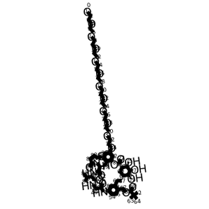 COCCOCCOCCOCCOCCOCCOCCOCCOCCOCCOCCOc1ccc(C[C@@H](C(=O)N[C@H](C(=O)N[C@@H](C)C(=O)Nc2ccc(COC(=O)C(C)(C)C)c(CC[C@@H]3C[C@H](C(=O)O)[C@@H](O)[C@H](O)[C@H]3O)c2)C(C)C)N2C(=O)C=CC2=O)cc1